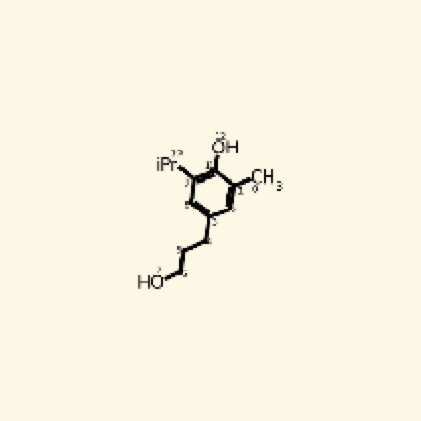 Cc1cc(CCCO)cc(C(C)C)c1O